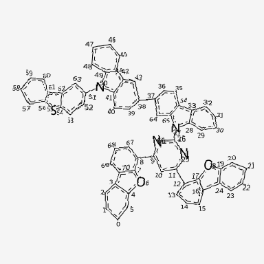 c1ccc2c(c1)oc1c(-c3cc(-c4cccc5c4oc4ccccc45)nc(-n4c5ccccc5c5ccc(-c6ccc7c(c6)c6ccccc6n7-c6ccc7sc8ccccc8c7c6)cc54)n3)cccc12